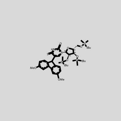 COc1ccc2c(c1)-c1cc(OC)ccc1C2c1cn([C@@H]2O[C@H](CO[Si](C)(C)C(C)(C)C)[C@@H](O[Si](C)(C)C(C)(C)C)[C@H]2O[Si](C)(C)C(C)(C)C)c(=O)[nH]c1=S